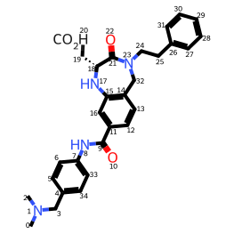 CN(C)Cc1ccc(NC(=O)c2ccc3c(c2)N[C@H](CC(=O)O)C(=O)N(CCc2ccccc2)C3)cc1